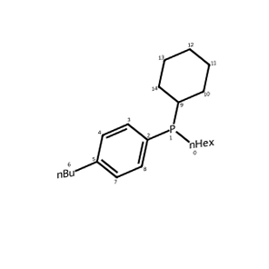 CCCCCCP(c1ccc(CCCC)cc1)C1CCCCC1